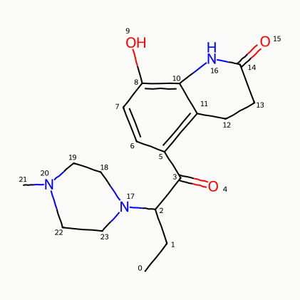 CCC(C(=O)c1ccc(O)c2c1CCC(=O)N2)N1CCN(C)CC1